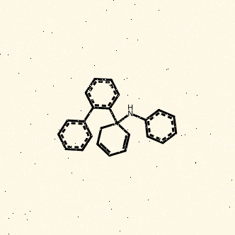 C1=CCC(Nc2ccccc2)(c2ccccc2-c2ccccc2)C=C1